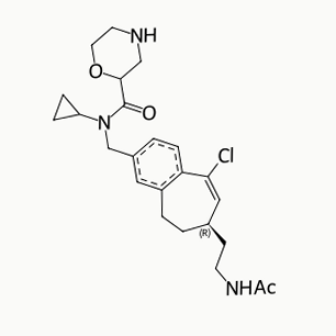 CC(=O)NCC[C@@H]1C=C(Cl)c2ccc(CN(C(=O)C3CNCCO3)C3CC3)cc2CC1